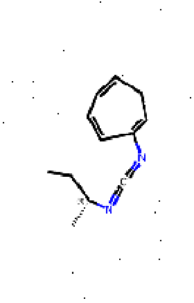 CC[C@@H](C)N=C=NC1=CCC=CC=C1